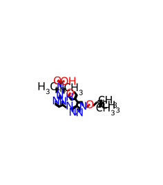 C[C@@H]1CN(c2nccc(CNc3ncnc4c3c(C3=CCOCC3)cn4COCC[Si](C)(C)C)n2)C[C@H](C)N1C(=O)O